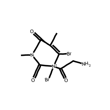 CC1=C(Br)[N+](Br)(C(=O)CN)C(=O)N(C)C1=O